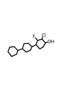 OC1CCC(C2CCC(C3CCCCC3)CC2)C(F)C1Cl